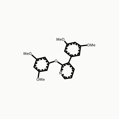 COc1cc(OC)cc(Oc2ncccc2-c2cc(OC)cc(OC)c2)c1